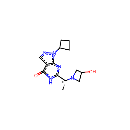 C[C@H](c1nc2c(cnn2C2CCC2)c(=O)[nH]1)N1CC(O)C1